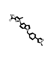 Cc1cc(C(N)=O)nn1-c1ccc2c(ccn2Cc2ccc(-c3cnn(C)c3)cc2)c1